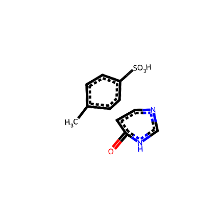 Cc1ccc(S(=O)(=O)O)cc1.O=c1ccnc[nH]1